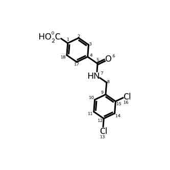 O=C(O)c1ccc(C(=O)NCc2ccc(Cl)cc2Cl)cc1